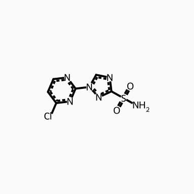 NS(=O)(=O)c1ncn(-c2nccc(Cl)n2)n1